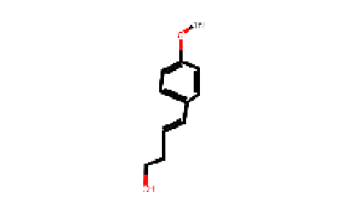 CCCOc1ccc(/C=C/CCO)cc1